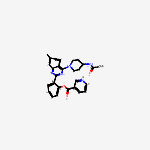 Cc1ccc2c(N3CCC(NC(=O)OCC(C)C)CC3)nc(-c3ccccc3OC(=O)c3cccnc3)nc2c1